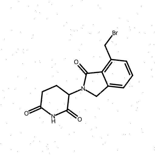 O=C1CCC(N2Cc3cccc(CBr)c3C2=O)C(=O)N1